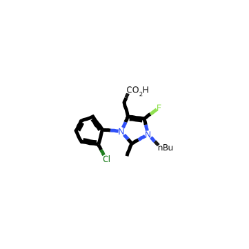 CCCCN1C(F)=C(CC(=O)O)N(c2ccccc2Cl)C1C